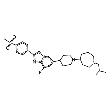 CC(C)CN1CCCC(N2CCC(c3cc(F)c4nc(-c5ccc(S(C)(=O)=O)cc5)cn4c3)CC2)CC1